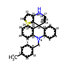 Cc1ccc(CN2c3ccccc3C3(c4ccccc4Nc4ccsc43)c3ccccc32)cc1